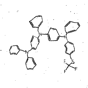 FC(F)(F)Sc1ccc(N(c2ccccc2)c2ccc(N(c3ccccc3)c3ccc(N(c4ccccc4)c4ccccc4)cc3)cc2)cc1